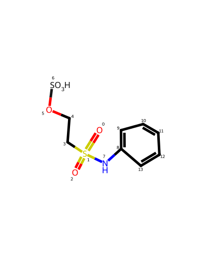 O=S(=O)(CCOS(=O)(=O)O)Nc1ccccc1